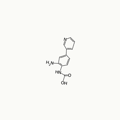 Nc1cc(-c2cccnc2)ccc1NC(=O)O